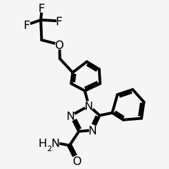 NC(=O)c1nc(-c2ccccc2)n(-c2cccc(COCC(F)(F)F)c2)n1